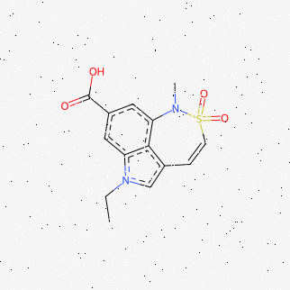 CCn1cc2c3c(cc(C(=O)O)cc31)N(C)S(=O)(=O)C=C2